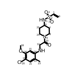 C=CS(=O)(=O)NC1CCN(C(=O)CNc2cc(OC)c(Cl)cc2C)CC1